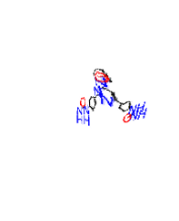 CNC(=O)Nc1ccc(-c2cc(N3CC4CCC(C3)O4)nc(-c3ccc(NC(=O)NC)cc3)n2)cc1